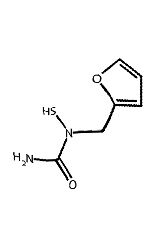 NC(=O)N(S)Cc1ccco1